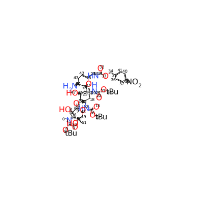 CN(C(=O)OC(C)(C)C)[C@@H]1[C@@H](O)[C@@H](O[C@H]2[C@H](NC(=O)OC(C)(C)C)C[C@H](NC(=O)OC(C)(C)C)C([C@H]3OC(CNC(=O)OCc4ccc([N+](=O)[O-])cc4)=CC[C@H]3N)[C@@H]2O)OC[C@]1(C)O